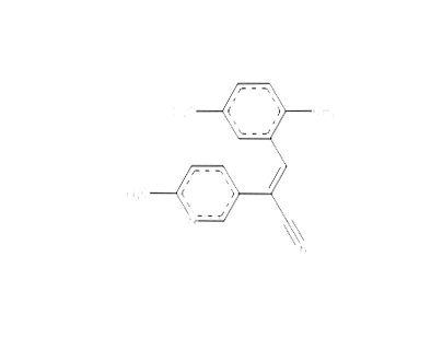 Cc1ccc(C)c(/C=C(/C#N)c2ccc(C)nc2)c1